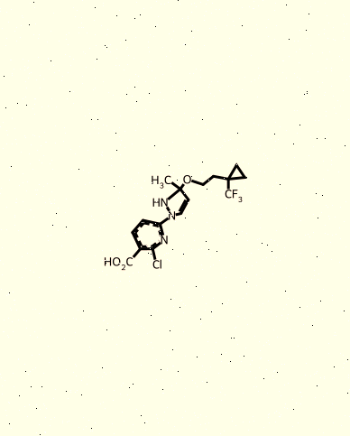 CC1(OCCC2(C(F)(F)F)CC2)C=CN(c2ccc(C(=O)O)c(Cl)n2)N1